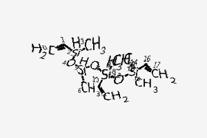 C=C[SiH](C)O[SiH](C)O[Si](C)(C=C)O[Si](C)(C)C=C